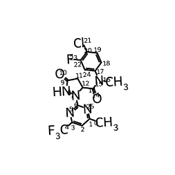 Cc1cc(C(F)(F)F)nc(N2NC(=O)CC2C(=O)N(C)c2ccc(Cl)c(F)c2)n1